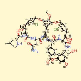 CN[C@H](CC(C)C)C(=O)N[C@H]1C(=O)NC(CC(N)=O)C(=O)N[C@H]2C(=S)N[C@H]3C(=O)N[C@H](C(=O)N[C@H](CO)c4cc(OC)cc(OC)c4-c4cc3ccc4COC)[C@H](O)c3ccc(c(Cl)c3)Oc3cc2cc(c3OC)Oc2ccc(cc2Cl)[C@H]1O